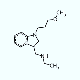 CCNCC1CN(CCCOC)c2ccccc21